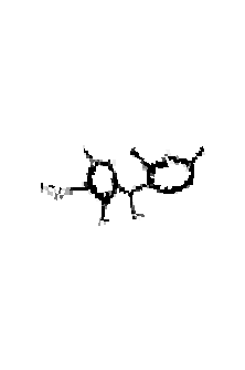 CCc1c(C(O)c2ccc(F)nc2C)nn(C)c1C(=O)O